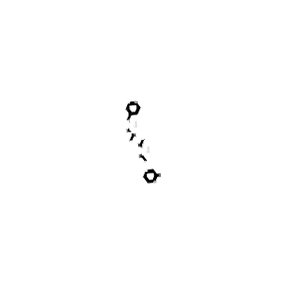 O=C(COc1ccc(Cl)c(F)c1)N[C@H]1CO[C@H](C(=O)NCc2ccc(Cl)c(F)c2)CO1